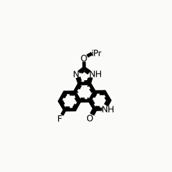 CC(C)Oc1nc2c3ccc(F)cc3c3c(=O)[nH]ccc3c2[nH]1